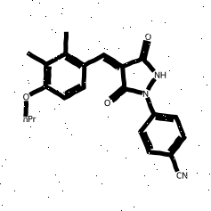 CCCOc1ccc(C=C2C(=O)NN(c3ccc(C#N)cc3)C2=O)c(C)c1C